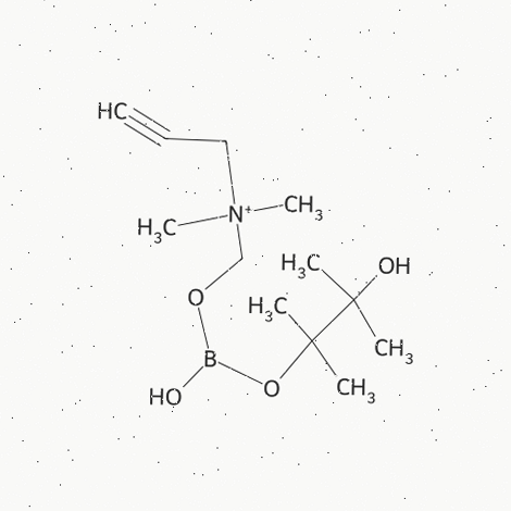 C#CC[N+](C)(C)COB(O)OC(C)(C)C(C)(C)O